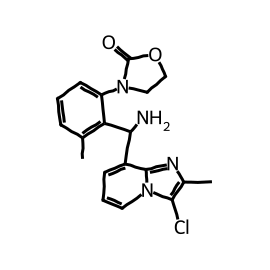 Cc1cccc(N2CCOC2=O)c1C(N)c1cccn2c(Cl)c(C)nc12